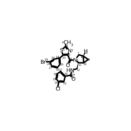 Cc1nc(C(=O)N2C[C@@H]3CC3[C@H]2CNC(=O)c2cccc(Cl)c2)c(-c2cccc(Br)c2)s1